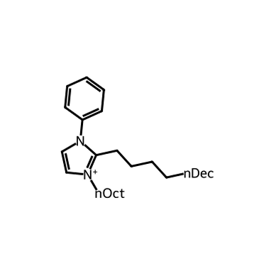 CCCCCCCCCCCCCCc1n(-c2ccccc2)cc[n+]1CCCCCCCC